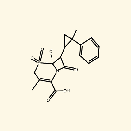 CC1=C(C(=O)O)N2C(=O)C(C3CC3(C)c3ccccc3)[C@@H]2S(=O)(=O)C1